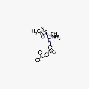 CCN1C(=O)/C(=C2C=C(/C=C/c3ccc4c(c3)C3CCCC3N4c3ccc(C=C(c4ccccc4)c4ccccc4)cc3)CC(C)(N)C\2)SC1=S